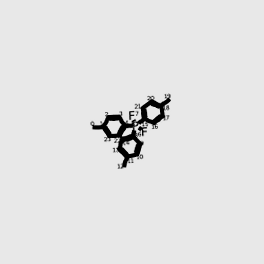 Cc1ccc(P(F)(F)(c2ccc(C)cc2)c2ccc(C)cc2)cc1